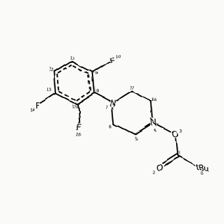 CC(C)(C)C(=O)ON1CCN(c2c(F)ccc(F)c2F)CC1